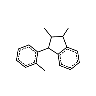 Cc1ccccc1C1c2ccccc2C(I)C1C